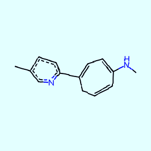 CNC1=CC=C(c2ccc(C)cn2)CC=C1